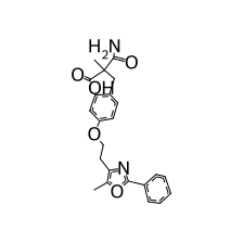 Cc1oc(-c2ccccc2)nc1CCOc1ccc(CC(C)(C(N)=O)C(=O)O)cc1